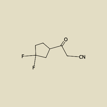 N#CCC(=O)C1CCC(F)(F)C1